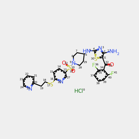 Cl.Nc1nc(NC2CCN(S(=O)(=O)c3ccc(SCCc4ccccn4)nc3)CC2)sc1C(=O)c1c(F)cccc1F